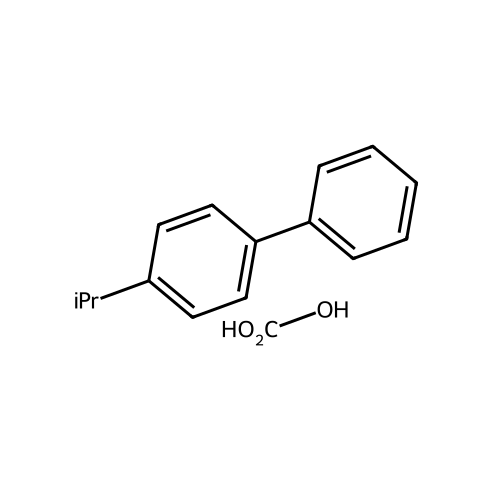 CC(C)c1ccc(-c2ccccc2)cc1.O=C(O)O